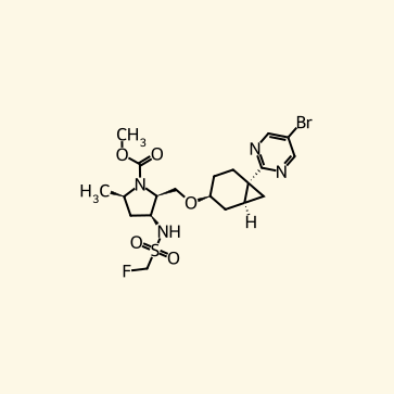 COC(=O)N1[C@H](C)C[C@H](NS(=O)(=O)CF)[C@@H]1CO[C@H]1CC[C@@]2(c3ncc(Br)cn3)C[C@H]2C1